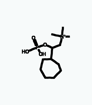 C[N+](C)(C)CC(OP(=O)(O)O)C1CCCCCC1